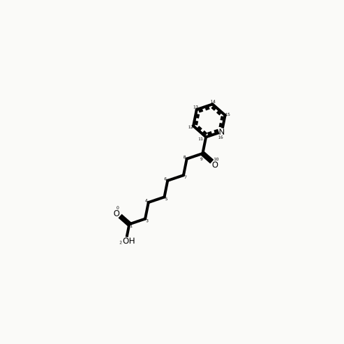 O=C(O)CCCCCCC(=O)c1ccccn1